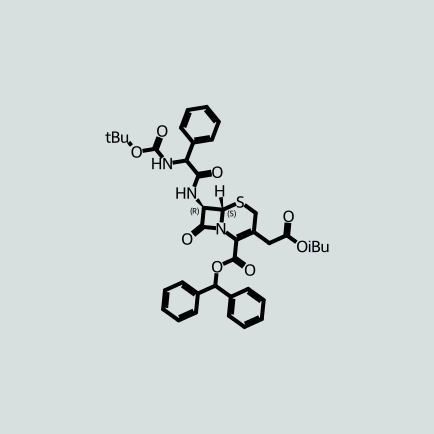 CC(C)COC(=O)CC1=C(C(=O)OC(c2ccccc2)c2ccccc2)N2C(=O)[C@@H](NC(=O)C(NC(=O)OC(C)(C)C)c3ccccc3)[C@@H]2SC1